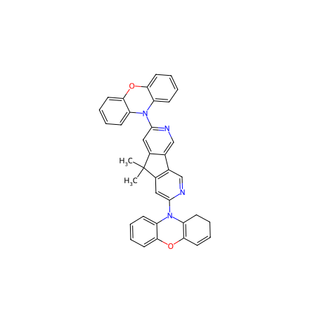 CC1(C)c2cc(N3C4=C(C=CCC4)Oc4ccccc43)ncc2-c2cnc(N3c4ccccc4Oc4ccccc43)cc21